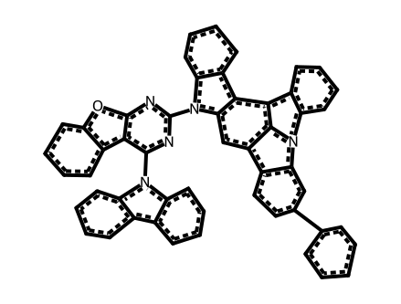 c1ccc(-c2ccc3c4cc5c(c6ccccc6n5-c5nc(-n6c7ccccc7c7ccccc76)c6c(n5)oc5ccccc56)c5c6ccccc6n(c3c2)c45)cc1